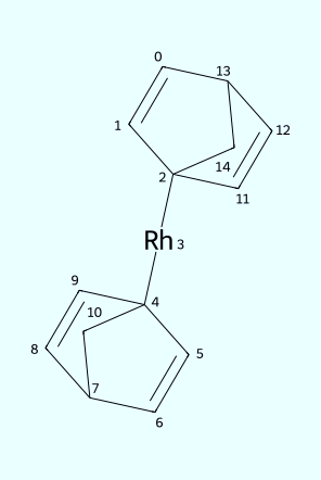 C1=C[C]2([Rh][C]34C=CC(C=C3)C4)C=CC1C2